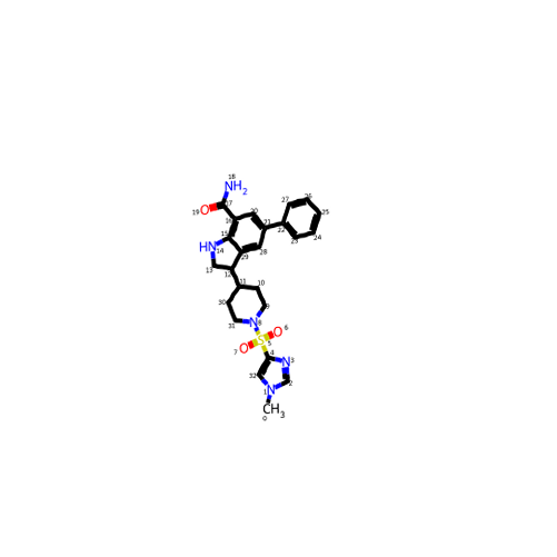 Cn1cnc(S(=O)(=O)N2CCC(C3CNc4c(C(N)=O)cc(-c5ccccc5)cc43)CC2)c1